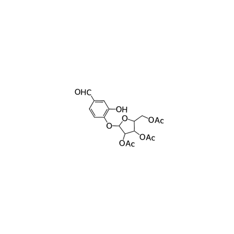 CC(=O)OCC1OC(Oc2ccc(C=O)cc2O)C(OC(C)=O)C1OC(C)=O